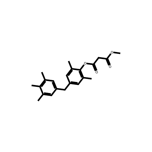 COC(=O)CC(=O)Oc1c(C)cc(Cc2cc(C)c(C)c(C)c2)cc1C